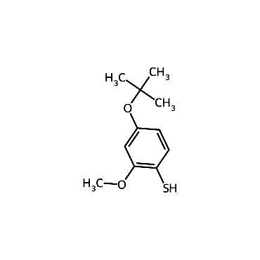 COc1cc(OC(C)(C)C)ccc1S